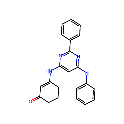 O=C1C=C(Nc2cc(Nc3ccccc3)nc(-c3ccccc3)n2)CCC1